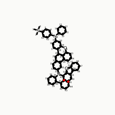 C[Si](C)(C)c1ccc(N(c2ccccc2)c2ccc3c(c2)Oc2cccc4c2c-3cc2ccc(N(c3ccccc3-c3ccccc3)c3cccc5c3oc3ccccc35)cc24)cc1